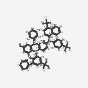 Cc1cc2c3c(c1)-n1c4ccccc4c4cc(C(C)(C)C)cc(c41)B3c1ccc(N(c3ccc(C(C)(C)C)cc3)c3ccc(C(C)(C)C)c4ccccc34)nc1N2c1ccccc1